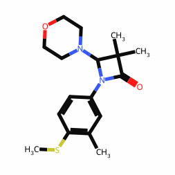 CSc1ccc(N2C(=O)C(C)(C)C2N2CCOCC2)cc1C